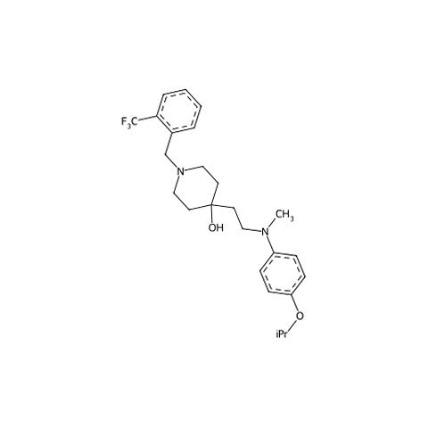 CC(C)Oc1ccc(N(C)CCC2(O)CCN(Cc3ccccc3C(F)(F)F)CC2)cc1